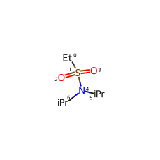 CCS(=O)(=O)N(C(C)C)C(C)C